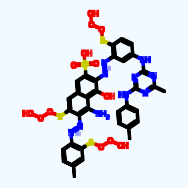 Cc1ccc(Nc2nc(C)nc(Nc3ccc(SOOO)c(/N=N/c4c(S(=O)(=O)O)cc5cc(SOOO)c(/N=N/c6ccc(C)cc6SOOO)c(N)c5c4O)c3)n2)cc1